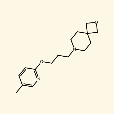 Cc1ccc(OCCCN2CCC3(CC2)COC3)nc1